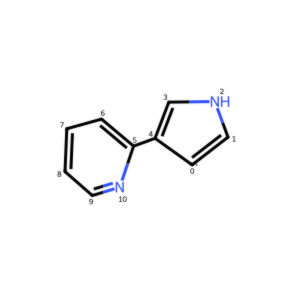 [c]1c[nH]cc1-c1ccccn1